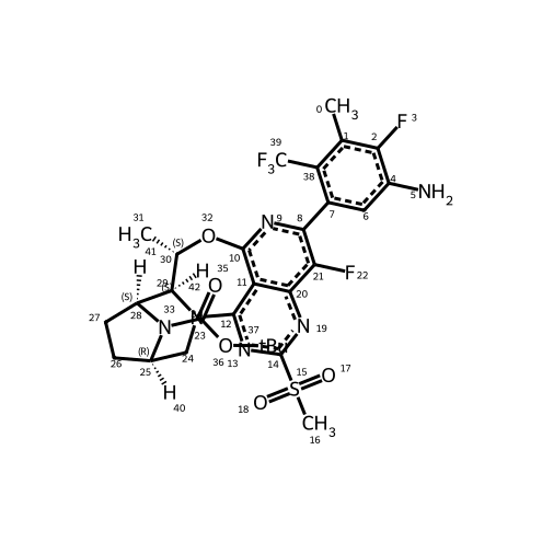 Cc1c(F)c(N)cc(-c2nc3c4c(nc(S(C)(=O)=O)nc4c2F)N2C[C@H]4CC[C@@H]([C@H]2[C@H](C)O3)N4C(=O)OC(C)(C)C)c1C(F)(F)F